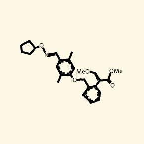 CO/C=C(/C(=O)OC)c1ccccc1COc1cc(C)c(/C=N/OC2CCCC2)cc1C